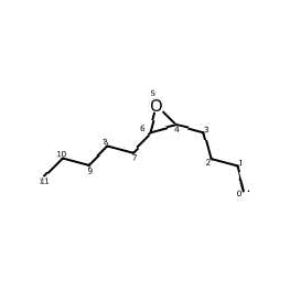 [CH2]CCCC1OC1CCCCC